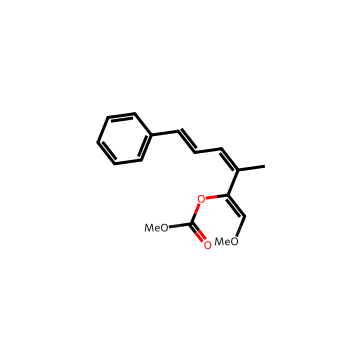 COC=C(OC(=O)OC)C(C)=CC=Cc1ccccc1